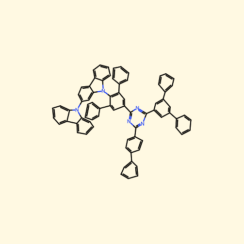 c1ccc(-c2ccc(-c3nc(-c4cc(-c5ccccc5)cc(-c5ccccc5)c4)nc(-c4cc(-c5ccccc5)c(-n5c6ccccc6c6ccc(-n7c8ccccc8c8ccccc87)cc65)c(-c5ccccc5)c4)n3)cc2)cc1